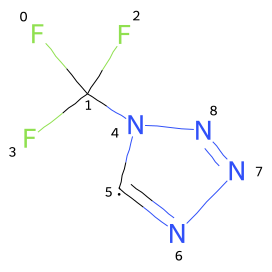 FC(F)(F)n1[c]nnn1